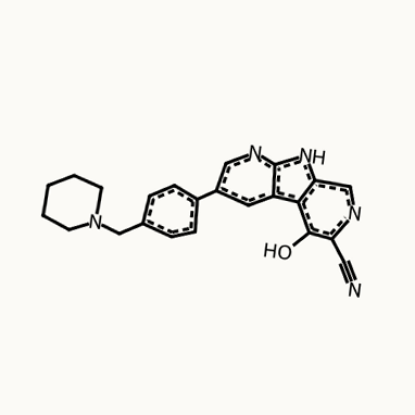 N#Cc1ncc2[nH]c3ncc(-c4ccc(CN5CCCCC5)cc4)cc3c2c1O